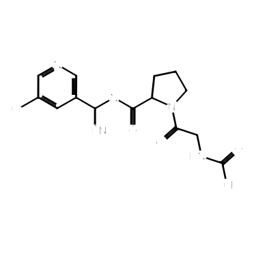 N#CC(NC(=O)C1CCCN1C(=O)CNC(=O)C(F)(F)F)c1cncc(Cl)c1